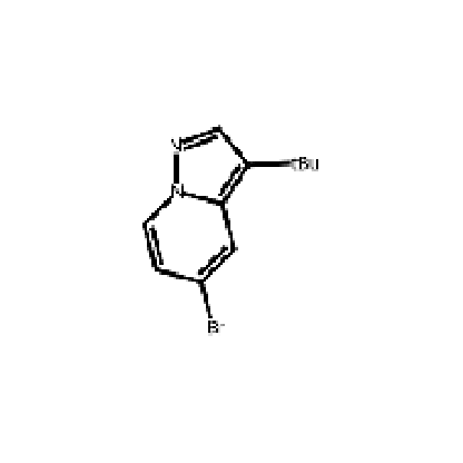 CC(C)(C)c1cnn2ccc(Br)cc12